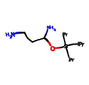 CC(C)[Si](OC(N)CCN)(C(C)C)C(C)C